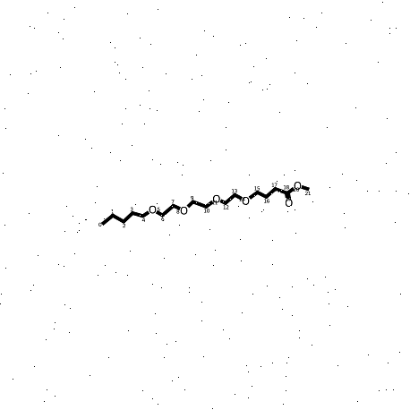 CCCCCOCCOCCOCCOCCCC(=O)OC